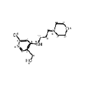 OCc1cnc(Cl)cc1NCCCN1CCOCC1